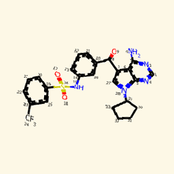 Nc1ncnc2c1c(C(=O)c1cccc(NS(=O)(=O)c3cccc(C(F)(F)F)c3)c1)cn2C1CCCC1